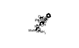 CNc1nc(N)nc2c1ncn2[C@@H]1O[C@@H]2C(OP(=O)(N[C@H](C)C(=O)OC(C)C)Oc3ccccc3)[C@]2(O)[C@H]1F